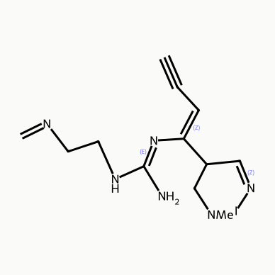 C#C/C=C(\N=C(/N)NCCN=C)C(/C=N\I)CNC